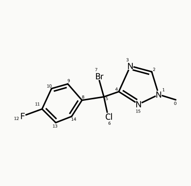 Cn1cnc(C(Cl)(Br)c2ccc(F)cc2)n1